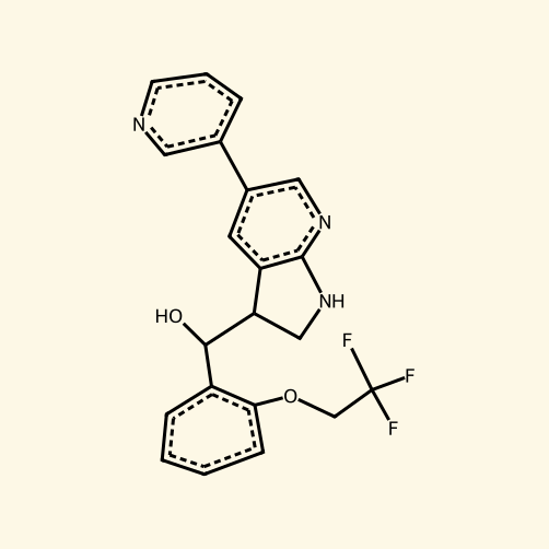 OC(c1ccccc1OCC(F)(F)F)C1CNc2ncc(-c3cccnc3)cc21